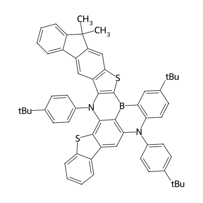 CC(C)(C)c1ccc(N2c3ccc(C(C)(C)C)cc3B3c4sc5cc6c(cc5c4N(c4ccc(C(C)(C)C)cc4)c4c3c2cc2c4sc3ccccc32)-c2ccccc2C6(C)C)cc1